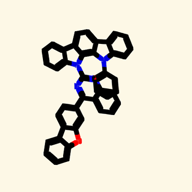 c1ccc(-n2c3ccccc3c3ccc4c5ccccc5n(-c5nc(-c6ccc7c(c6)oc6ccccc67)c6ccccc6n5)c4c32)cc1